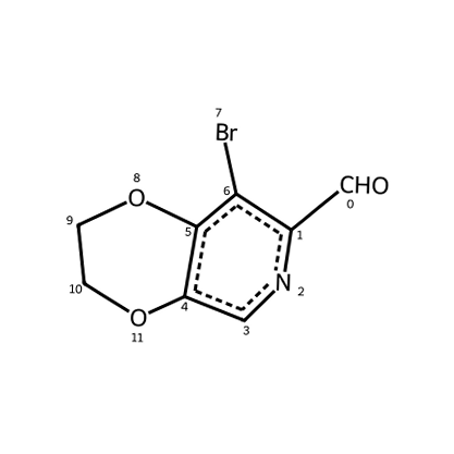 O=Cc1ncc2c(c1Br)OCCO2